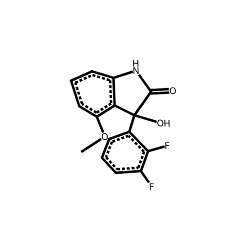 COc1cccc2c1C(O)(c1cccc(F)c1F)C(=O)N2